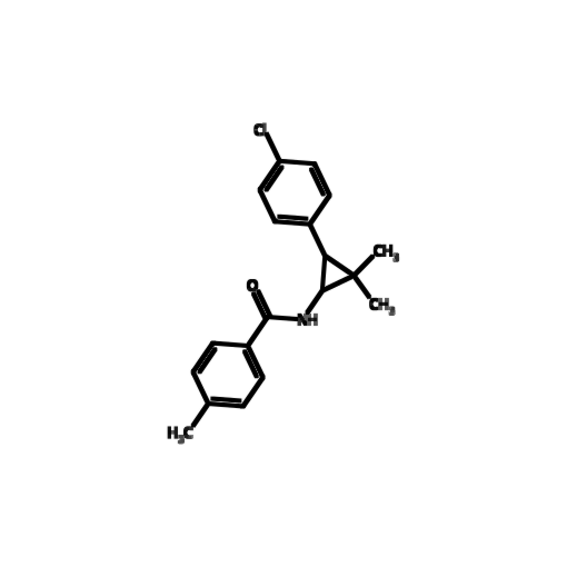 Cc1ccc(C(=O)NC2C(c3ccc(Cl)cc3)C2(C)C)cc1